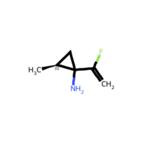 C=C(F)C1(N)C[C@@H]1C